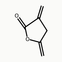 C=C1CC(=C)C(=O)O1